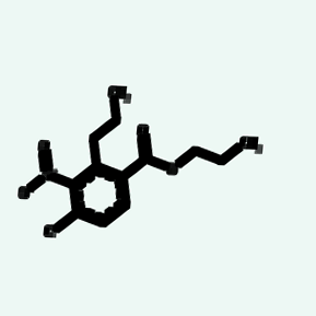 CCCOC(=O)c1ccc(Cl)c([N+](=O)[O-])c1CCC